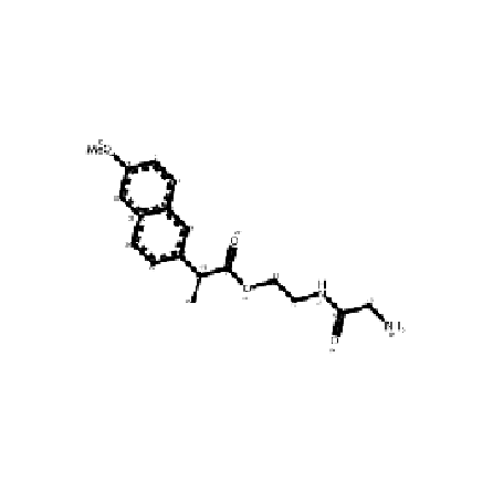 COc1ccc2cc([C@H](C)C(=O)OCCNC(=O)CN)ccc2c1